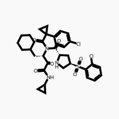 O=C(NC1CC1)C(=O)[C@H](CC1CCCCC1)N(C(=O)[C@@H]1C[C@@H](S(=O)(=O)c2ccccc2Cl)CN1)C(=O)C1(c2ccc(Cl)cc2)CC1